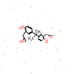 CC(C)(c1ccc(O)c(CC2CO2)c1)c1ccc(O)c(CC2CO2)c1